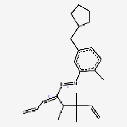 C=C/C=C(/N=N/c1cc(CC2CCCC2)ccc1C)C(C)C(C)(C)C=C